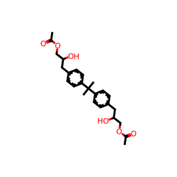 CC(=O)OCC(O)Cc1ccc(C(C)(C)c2ccc(CC(O)COC(C)=O)cc2)cc1